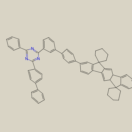 C1=C2C(=CC3c4ccccc4C4(CCCCC4)C13)C1(CCCCC1)c1cc(-c3ccc(-c4cccc(-c5nc(-c6ccccc6)nc(-c6ccc(-c7ccccc7)cc6)n5)c4)cc3)ccc12